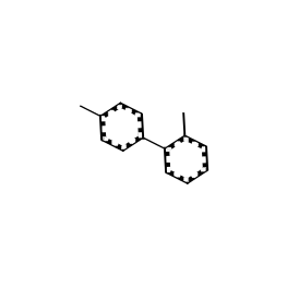 Cc1ccc(-c2[c]cccc2C)cc1